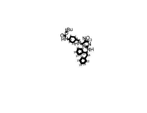 CC(C)(C)OC(=O)NC1CCC(CNc2nc(NC(Cc3ccccc3)c3ccccc3)ncc2[N+](=O)[O-])CC1